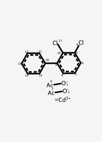 CC(=O)[O-].CC(=O)[O-].Clc1cccc(-c2ccccc2)c1Cl.[Cd+2]